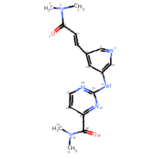 CN(C)C(=O)/C=C/c1cncc(Nc2nccc(C(=O)N(C)C)n2)c1